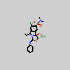 Br.CCC(C)N1C(=Nc2ccccc2)SCC1(O)c1ccc(Cl)c(S(=O)(=O)N(C)C)c1